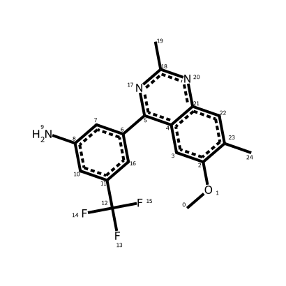 COc1cc2c(-c3cc(N)cc(C(F)(F)F)c3)nc(C)nc2cc1C